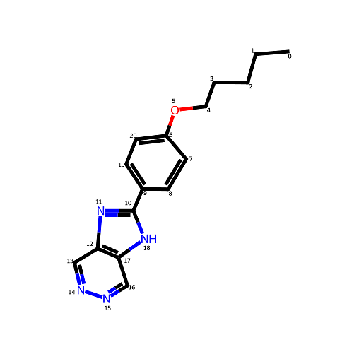 CCCCCOc1ccc(-c2nc3cnncc3[nH]2)cc1